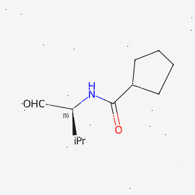 CC(C)[C@@H]([C]=O)NC(=O)C1CCCC1